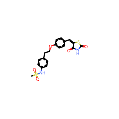 CS(=O)(=O)Nc1ccc(CCOc2ccc(C=C3SC(=O)NC3=O)cc2)cc1